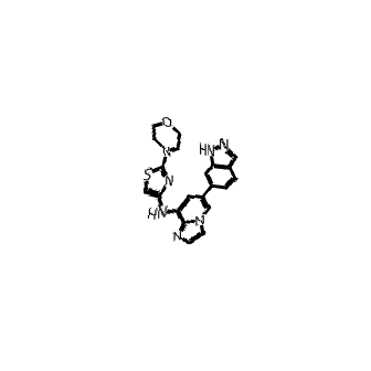 c1cn2cc(-c3ccc4cn[nH]c4c3)cc(Nc3csc(N4CCOCC4)n3)c2n1